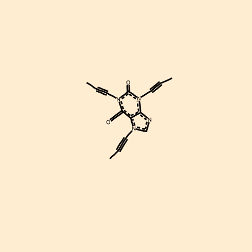 CC#Cn1c(=O)c2c(ncn2C#CC)n(C#CC)c1=O